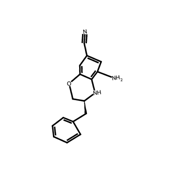 N#Cc1cc(N)c2c(c1)OC[C@H](Cc1ccccc1)N2